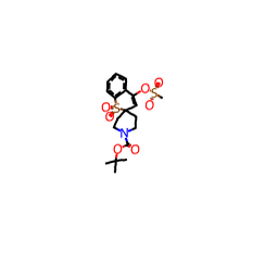 CC(C)(C)OC(=O)N1CCC2(C=C(OS(C)(=O)=O)c3ccccc3S2(=O)=O)CC1